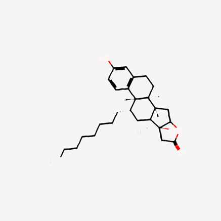 CCCCCCCC[C@H]1C[C@@]2(C)[C@@H](CC3OC(=O)C[C@@]32O)[C@@H]2CCc3cc(O)ccc3[C@@H]12